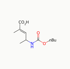 CCCCOC(=O)NC(C)C=C(C)C(=O)O